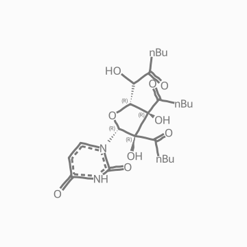 CCCCC(=O)C(O)[C@H]1O[C@@H](n2ccc(=O)[nH]c2=O)[C@@](O)(C(=O)CCCC)[C@@]1(O)C(=O)CCCC